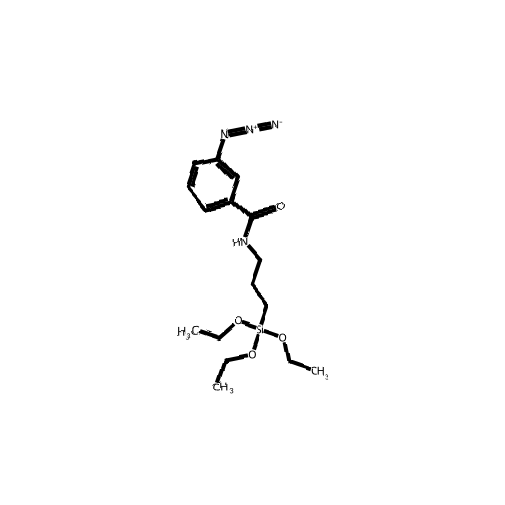 CCO[Si](CCCNC(=O)c1cccc(N=[N+]=[N-])c1)(OCC)OCC